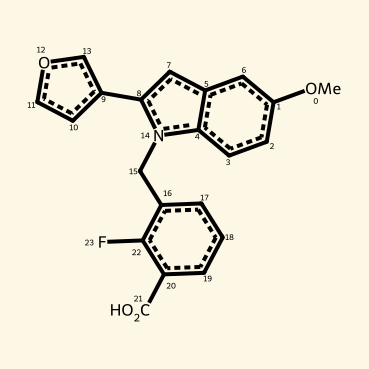 COc1ccc2c(c1)cc(-c1ccoc1)n2Cc1cccc(C(=O)O)c1F